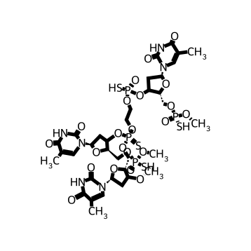 COC1C[C@H](n2cc(C)c(=O)[nH]c2=O)O[C@@H]1COP(=S)(OCCOP(=O)(S)OC1C[C@H](n2cc(C)c(=O)[nH]c2=O)O[C@@H]1COP(=O)(S)OC)OC1C[C@H](n2cc(C)c(=O)[nH]c2=O)O[C@@H]1COP(=O)(S)OC